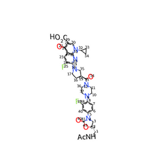 CC(=O)NC[C@H]1CN(c2ccc(N3CCN(C(=O)[C@H]4CCN(c5nc6c(cc5F)c(=O)c(C(=O)O)cn6C5CC5)C4)CC3)c(F)c2)C(=O)O1